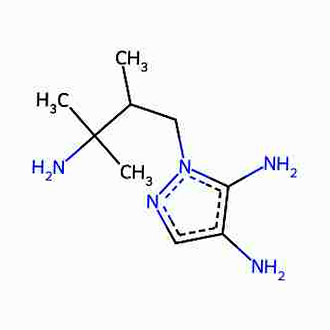 CC(Cn1ncc(N)c1N)C(C)(C)N